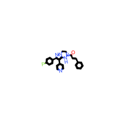 O=C(C=Cc1ccccc1)N1CCn2nc(-c3ccc(F)cc3)c(-c3ccncc3)c2N1